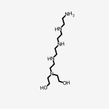 NCCNCCNCCNCCN(CCO)CCO